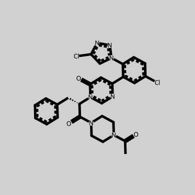 CC(=O)N1CCN(C(=O)[C@H](Cc2ccccc2)n2cnc(-c3cc(Cl)ccc3-n3cc(Cl)nn3)cc2=O)CC1